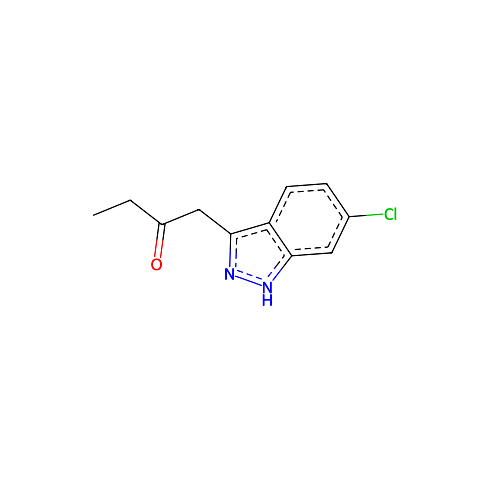 CCC(=O)Cc1n[nH]c2cc(Cl)ccc12